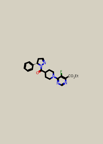 CCOC(=O)c1ncnc(N2CCC(C(=O)N3N=CC[C@H]3c3ccccc3)CC2)c1F